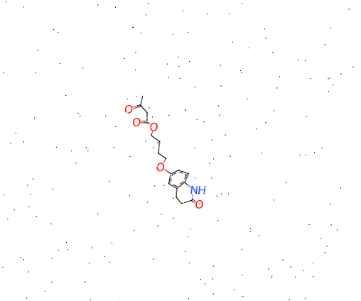 CC(=O)CC(=O)OCCCCOc1ccc2c(c1)CCC(=O)N2